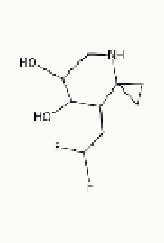 OC1CNC2(CC2)C(CC(F)F)C1O